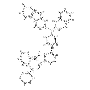 c1ccc(-c2cc3c4cccc(-c5ccc(N(c6ccc7ccccc7c6)c6ccc7c(c6)sc6ccccc67)cc5)c4oc3c3ccccc23)cc1